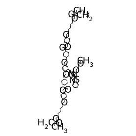 C=C(C)C(=O)OCCCCCCOc1ccc(OC(=O)C2CCC(COc3ccc(OCC4CCC(C(=O)Oc5ccc(OCCCCCCOC(=O)C(=C)C)cc5)CC4)c(/C=N/N(COCCOC)c4nc5ccccc5s4)c3)CC2)cc1